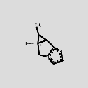 CC1C2c3nccn3C[C@@H]12